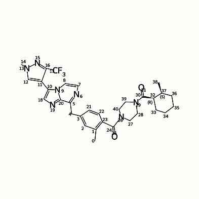 Cc1cc(Cc2nccn3c(-c4cn(C)nc4C(F)(F)F)cnc23)ccc1C(=O)N1CCN(C(=O)[C@@H]2CCCC[C@@H]2C)CC1